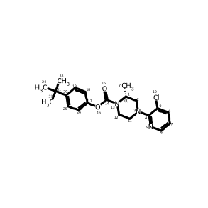 C[C@@H]1CN(c2ncccc2Cl)CCN1C(=O)Oc1ccc(C(C)(C)C)cc1